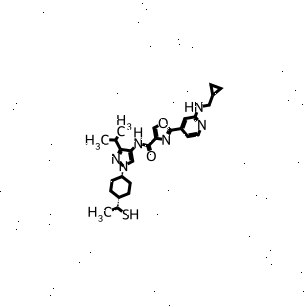 CC(C)c1nn([C@H]2CC[C@@H](C(C)S)CC2)cc1NC(=O)c1coc(-c2ccnc(NCC3CC3)c2)n1